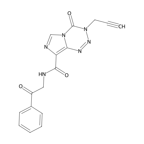 C#CCn1nnc2c(C(=O)NCC(=O)c3ccccc3)ncn2c1=O